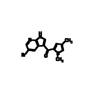 Cc1cc(C(=O)c2c[nH]c3ncc(Br)cc23)n(C)c1